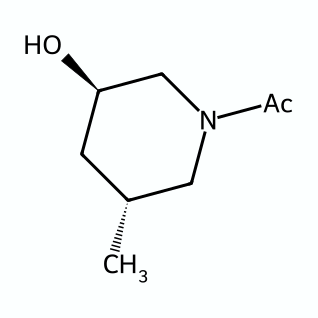 CC(=O)N1C[C@H](C)C[C@@H](O)C1